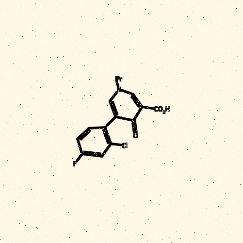 CC(C)n1cc(C(=O)O)c(=O)c(-c2ccc(F)cc2Cl)c1